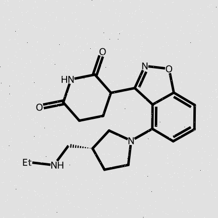 CCNC[C@H]1CCN(c2cccc3onc(C4CCC(=O)NC4=O)c23)C1